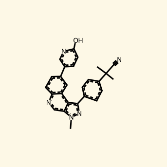 Cn1nc(-c2ccc(C(C)(C)C#N)cc2)c2c3cc(-c4ccc(O)nc4)ccc3ncc21